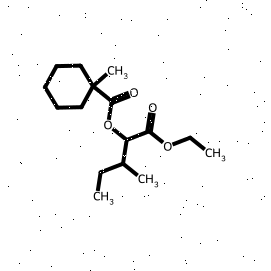 CCOC(=O)C(OC(=O)C1(C)CCCCC1)C(C)CC